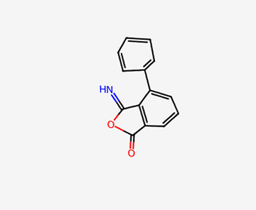 N=C1OC(=O)c2cccc(-c3ccccc3)c21